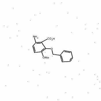 COc1ccc(N)c(C(=O)O)c1OCc1ccccc1